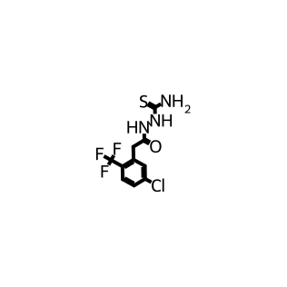 NC(=S)NNC(=O)Cc1cc(Cl)ccc1C(F)(F)F